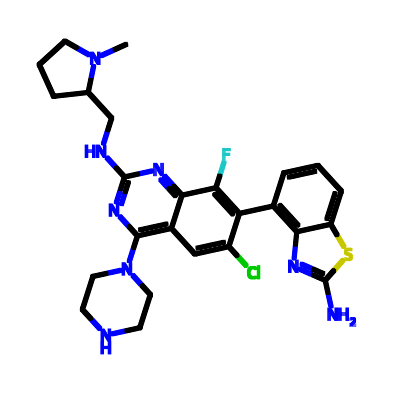 CN1CCCC1CNc1nc(N2CCNCC2)c2cc(Cl)c(-c3cccc4sc(N)nc34)c(F)c2n1